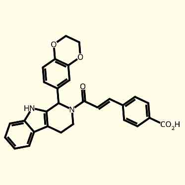 O=C(O)c1ccc(/C=C/C(=O)N2CCc3c([nH]c4ccccc34)C2c2ccc3c(c2)OCCO3)cc1